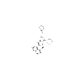 C#Cc1c(F)ccc2cc(O)cc(-c3ncc4c(N5CCCOCC5)nc(OCC5CC6CCN5CC6)nc4c3F)c12